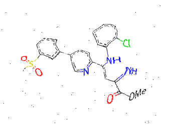 COC(=O)C(=N)/C=C(\Nc1ccccc1Cl)c1ccc(-c2cccc(S(C)(=O)=O)c2)cn1